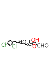 O=CC1CC(O)(C(=O)O)C(CCCCCCC=Cc2ccc(Cl)cc2Cl)O1